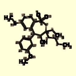 CCCCC1(CC)CS(=O)(=O)c2ccc(SC)cc2C(c2cccc(OC)c2)C1O